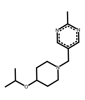 Cc1ncc(CN2CCC(OC(C)C)CC2)cn1